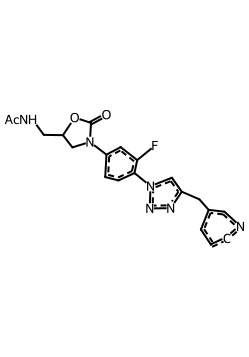 CC(=O)NCC1CN(c2ccc(-n3cc(Cc4cccnc4)nn3)c(F)c2)C(=O)O1